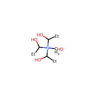 CCC(O)[N+](C)(C(O)CC)C(O)CC.[OH-]